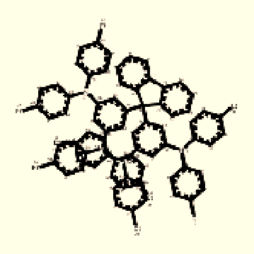 CCc1ccc(N(c2ccc(CC)cc2)c2cc(N(c3ccc(CC)cc3)c3ccc(CC)cc3)cc(C3(c4cc(N(c5ccc(CC)cc5)c5ccc(CC)cc5)cc(N(c5ccc(CC)cc5)c5ccc(CC)cc5)c4)c4ccccc4-c4ccccc43)c2)cc1